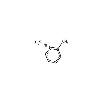 Cc1ccccc1.N.S